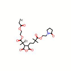 CCC(C)(C(=O)OCCOC(=O)CC(C)=O)C1C(=O)OC(=O)C1CCC(C)(C)C(=O)OCCN1CCCC1=O